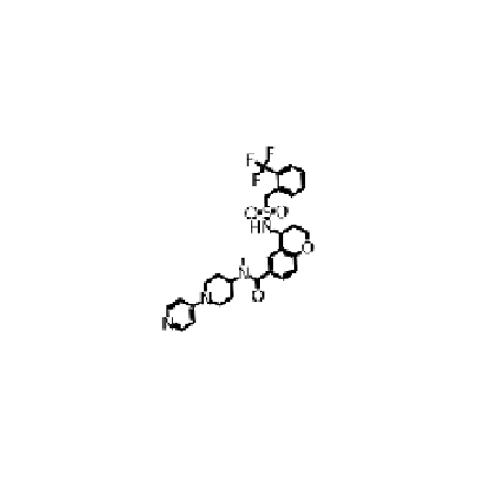 CN(C(=O)c1ccc2c(c1)C(NS(=O)(=O)Cc1ccccc1C(F)(F)F)CCO2)C1CCN(c2ccncc2)CC1